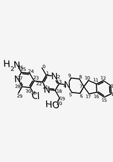 Cc1nc(N2CCC3(CC2)Cc2ccccc2C3)c(CO)nc1-c1cc(N)nc(C)c1Cl